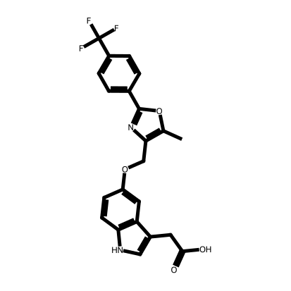 Cc1oc(-c2ccc(C(F)(F)F)cc2)nc1COc1ccc2[nH]cc(CC(=O)O)c2c1